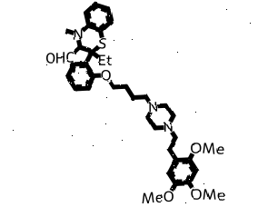 CCC1(c2ccccc2OCCCCN2CCN(CCc3cc(OC)c(OC)cc3OC)CC2)Sc2ccccc2N(C)C1C=O